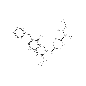 COC(=O)N(C)[C@H]1CC[C@@H](Oc2cc3c(=O)n(Cc4ccccc4)cnc3cc2OC)CC1